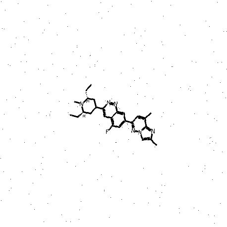 CC[C@@H]1CC(c2cc3c(F)cc(-c4cc(C)c5nc(C)cn5n4)cc3nn2)C[C@@H](CC)N1C